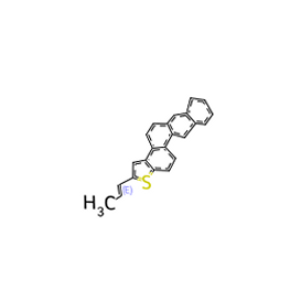 C/C=C/c1cc2c(ccc3c4cc5ccccc5cc4ccc23)s1